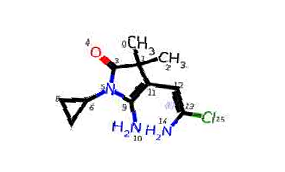 CC1(C)C(=O)N(C2CC2)C(N)=C1/C=C(\N)Cl